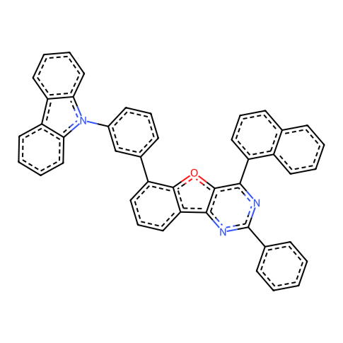 c1ccc(-c2nc(-c3cccc4ccccc34)c3oc4c(-c5cccc(-n6c7ccccc7c7ccccc76)c5)cccc4c3n2)cc1